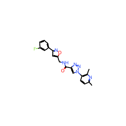 Cc1ccc(-n2cc(C(=O)NCc3cc(-c4cccc(F)c4)no3)nn2)c(C)n1